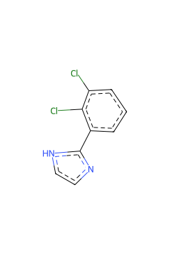 Clc1cccc(-c2ncc[nH]2)c1Cl